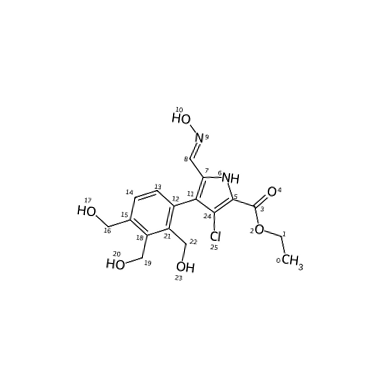 CCOC(=O)c1[nH]c(C=NO)c(-c2ccc(CO)c(CO)c2CO)c1Cl